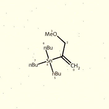 C=[C](COC)[Sn]([CH2]CCC)([CH2]CCC)[CH2]CCC